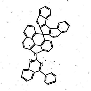 c1ccc(-c2nc(-n3c4cccc5c4c4c6c(cccc6ccc43)C53c4ccc5ccccc5c4-c4c3ccc3ccccc43)nc3ccccc23)cc1